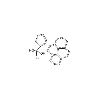 CCC(O)(O)c1ccccc1.c1cc2ccc3cccc4ccc(c1)c2c34